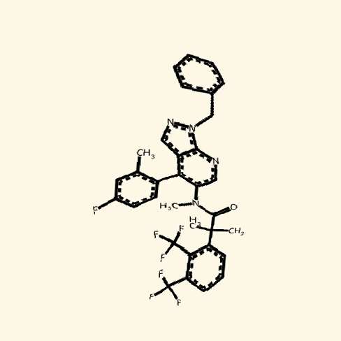 Cc1cc(F)ccc1-c1c(N(C)C(=O)C(C)(C)c2cccc(C(F)(F)F)c2C(F)(F)F)cnc2c1cnn2Cc1ccccc1